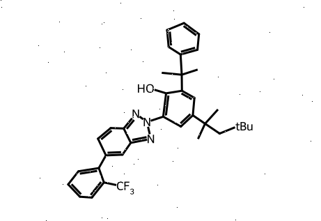 CC(C)(C)CC(C)(C)c1cc(-n2nc3ccc(-c4ccccc4C(F)(F)F)cc3n2)c(O)c(C(C)(C)c2ccccc2)c1